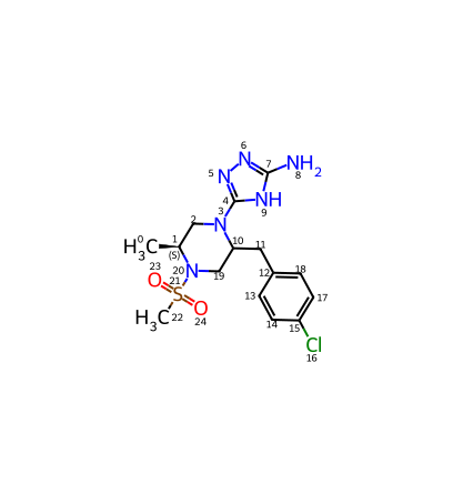 C[C@H]1CN(c2nnc(N)[nH]2)C(Cc2ccc(Cl)cc2)CN1S(C)(=O)=O